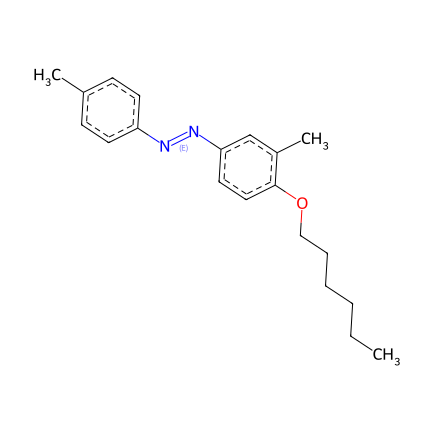 CCCCCCOc1ccc(/N=N/c2ccc(C)cc2)cc1C